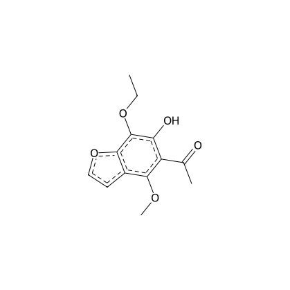 CCOc1c(O)c(C(C)=O)c(OC)c2ccoc12